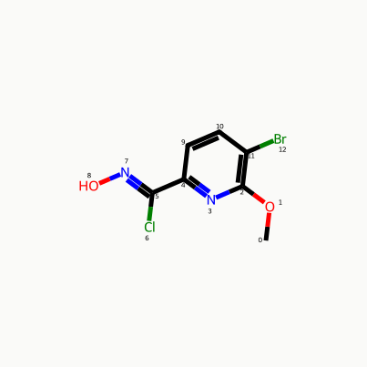 COc1nc(C(Cl)=NO)ccc1Br